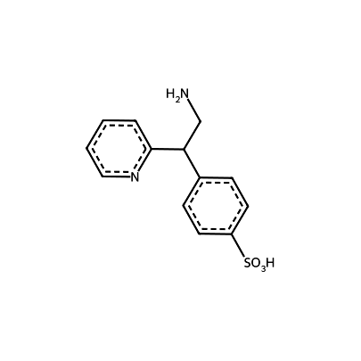 NCC(c1ccc(S(=O)(=O)O)cc1)c1ccccn1